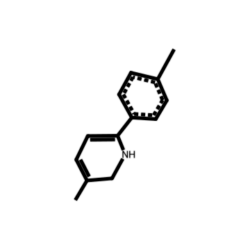 CC1=CC=C(c2ccc(C)cc2)NC1